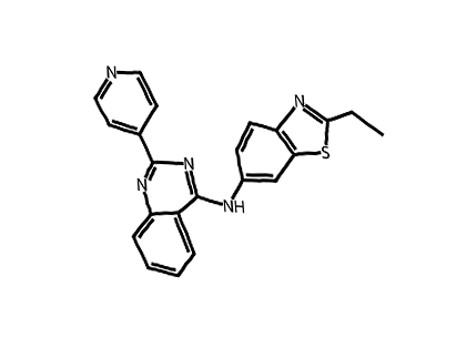 CCc1nc2ccc(Nc3nc(-c4ccncc4)nc4ccccc34)cc2s1